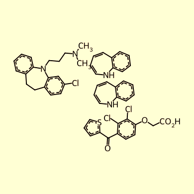 C1=CNc2ccccc2C=C1.C1=CNc2ccccc2C=C1.CN(C)CCCN1c2ccccc2CCc2ccc(Cl)cc21.O=C(O)COc1ccc(C(=O)c2cccs2)c(Cl)c1Cl